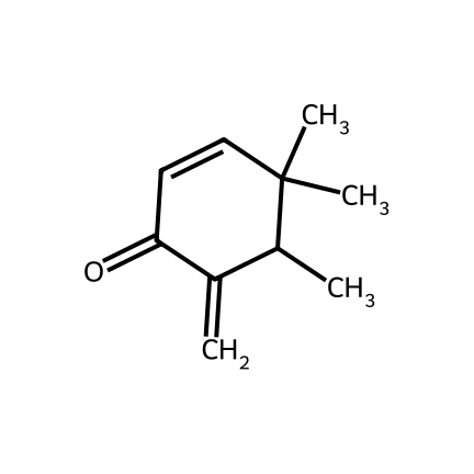 C=C1C(=O)C=CC(C)(C)C1C